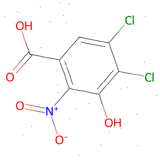 O=C(O)c1cc(Cl)c(Cl)c(O)c1[N+](=O)[O-]